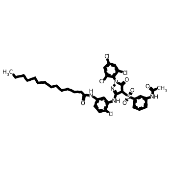 CCCCCCCCCCCCCC(=O)Nc1ccc(Cl)c(NC2=NN(c3c(Cl)cc(Cl)cc3Cl)C(=O)C2S(=O)(=O)c2cccc(NC(C)=O)c2)c1